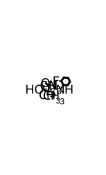 CC(C)(O)C1(C)SC(Nc2ccccc2F)=NC1=O